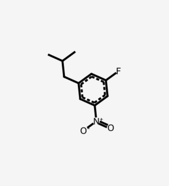 CC(C)Cc1cc(F)cc([N+](=O)[O-])c1